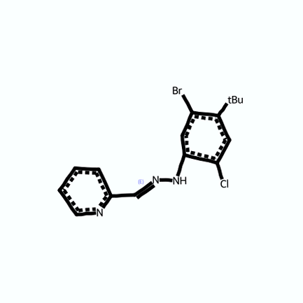 CC(C)(C)c1cc(Cl)c(N/N=C/c2ccccn2)cc1Br